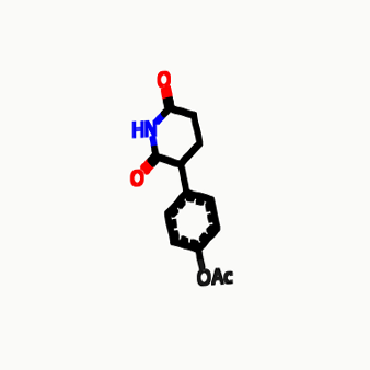 CC(=O)Oc1ccc(C2CCC(=O)NC2=O)cc1